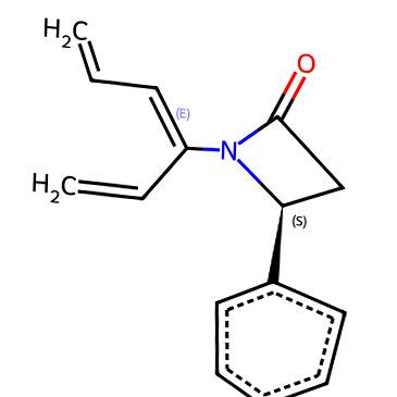 C=C/C=C(\C=C)N1C(=O)C[C@H]1c1ccccc1